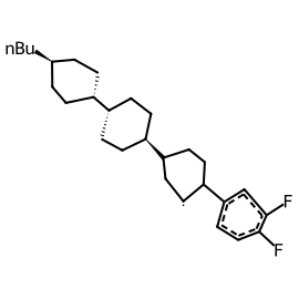 CCCC[C@H]1CC[C@H]([C@H]2CC[C@H](C3C[CH]C(c4ccc(F)c(F)c4)CC3)CC2)CC1